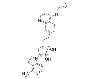 Nc1ncnc2c1ccn2[C@@H]1C[C@H](CCc2ccc3c(OCC4CC4)ccnc3c2)[C@@H](O)[C@H]1O